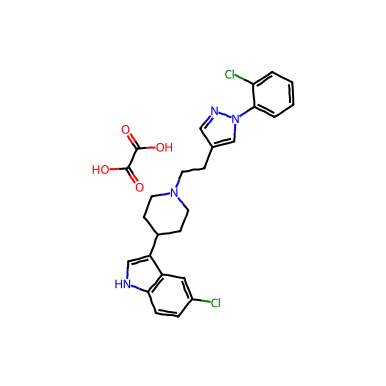 Clc1ccc2[nH]cc(C3CCN(CCc4cnn(-c5ccccc5Cl)c4)CC3)c2c1.O=C(O)C(=O)O